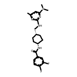 Cc1cc(N(C)C)nc(NC[C@H]2CC[C@@H](NC(=O)c3ccc(F)c(F)c3)CC2)n1